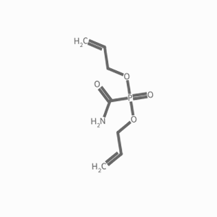 C=CCOP(=O)(OCC=C)C(N)=O